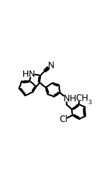 Cc1cccc(Cl)c1CNc1ccc(-c2c(C#N)[nH]c3ccccc23)cc1